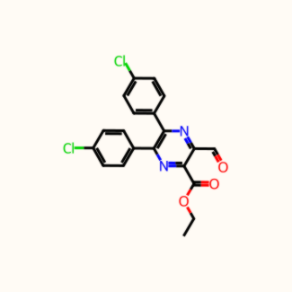 CCOC(=O)c1nc(-c2ccc(Cl)cc2)c(-c2ccc(Cl)cc2)nc1C=O